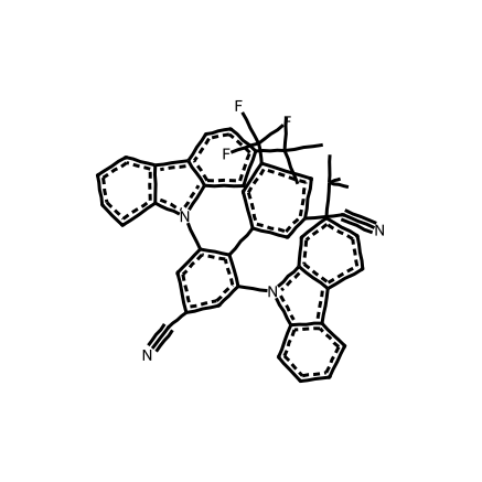 CC(C)(C)c1ccc2c3ccccc3n(-c3cc(C#N)cc(-n4c5ccccc5c5ccc(C(C)(C)C)cc54)c3-c3cc(C#N)cc(C(F)(F)F)c3)c2c1